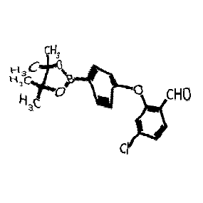 CC1(C)OB(c2ccc(Oc3cc(Cl)ccc3C=O)cc2)OC1(C)C